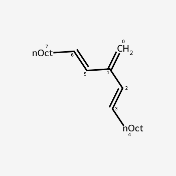 C=C(C=CCCCCCCCC)C=CCCCCCCCC